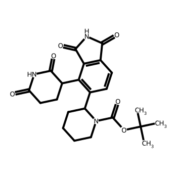 CC(C)(C)OC(=O)N1CCCCC1c1ccc2c(c1C1CCC(=O)NC1=O)C(=O)NC2=O